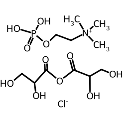 C[N+](C)(C)CCOP(=O)(O)O.O=C(OC(=O)C(O)CO)C(O)CO.[Cl-]